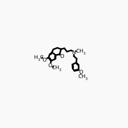 COc1cccc(CCN(C)CCCC2CCc3cc(OC)c(OC)cc3C2=O)c1